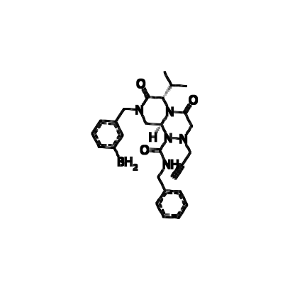 Bc1cccc(CN2C[C@H]3N(C(=O)CN(CC#C)N3C(=O)NCc3ccccc3)[C@@H](C(C)C)C2=O)c1